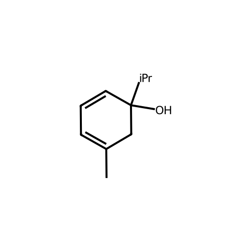 CC1=CC=CC(O)(C(C)C)C1